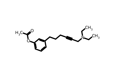 CCN(CC)CC#CCCCc1cccc(OC(C)=O)c1